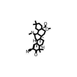 C/N=C1\C[C@@H]2[C@@]3(C)C=C(C#N)C(=O)C(C)(C)[C@@H]3CC[C@@]2(C)[C@]2(C)CC[C@@]3(C(=O)OC)CCC(C)(C)CC3C12